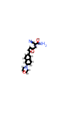 N#C/C(=C\c1ccc(-c2ccc3cc(N4CCOCC4)ccc3c2)o1)C(N)=O